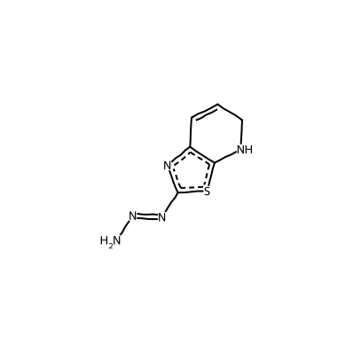 NN=Nc1nc2c(s1)NCC=C2